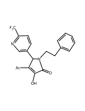 CC(=O)C1=C(O)C(=O)N(CCc2ccccc2)C1c1ccc(C(F)(F)F)nc1